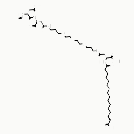 O=CN[C@@H](CC(=O)O)C(=O)N[C@@H](CC(=O)NCCCOCCOCCOCCCNC(=O)C[C@H](NC(=O)CCCCCCCCCCCCCCC(=O)O)C(=O)O)C(=O)O